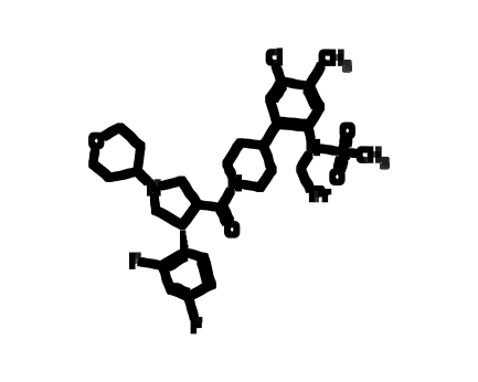 Cc1cc(N(CC(C)C)S(C)(=O)=O)c(C2CCN(C(=O)C3CN(C4CCOCC4)C[C@H]3c3ccc(F)cc3F)CC2)cc1Cl